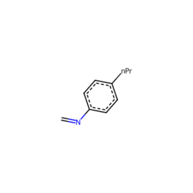 C=Nc1ccc(CCC)cc1